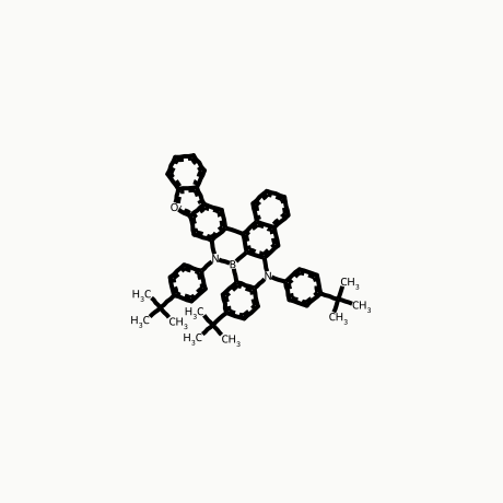 CC(C)(C)c1ccc(N2B3c4cc(C(C)(C)C)ccc4N(c4ccc(C(C)(C)C)cc4)c4cc5ccccc5c(c43)-c3cc4c(cc32)oc2ccccc24)cc1